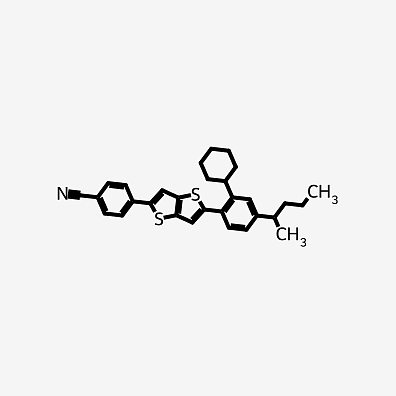 CCCC(C)c1ccc(-c2cc3sc(-c4ccc(C#N)cc4)cc3s2)c(C2CCCCC2)c1